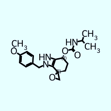 COc1ccc(Cn2[nH]c3c2[C@]2(CC[C@H]3OC(=O)NC(C)C)CO2)cc1